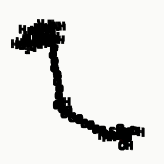 N=C(N)NCCC[C@H](NC(=O)CCOCCOCCOCCOCCOCCOCCOCCOCCNC(=O)c1ccc(OC(=O)CCOCCOCCOCCOCCOCCOCCNC(=S)Nc2ccc3c(c2)C(=O)OC32c3ccc(O)cc3Oc3cc(O)ccc32)cc1)C(=O)N[C@@H](CCCNC(=N)N)C(=O)NCC(=O)N[C@@H](Cc1c[nH]c2ccccc12)C(=O)O